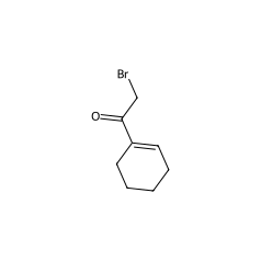 O=C(CBr)C1=CCCCC1